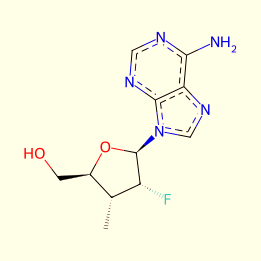 C[C@H]1[C@@H](F)[C@H](n2cnc3c(N)ncnc32)O[C@@H]1CO